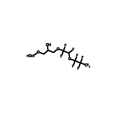 CCCCCCCCOCC(O)COC(F)(F)C(F)OC(F)(F)C(F)(F)C(F)(F)F